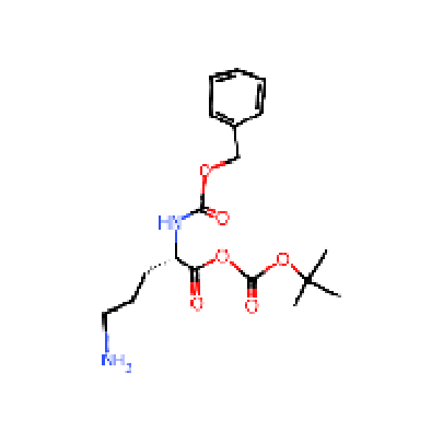 CC(C)(C)OC(=O)OC(=O)[C@H](CCCN)NC(=O)OCc1ccccc1